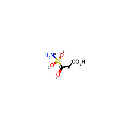 NS(=O)(=O)C(=O)CC(=O)O